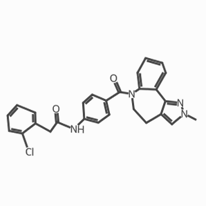 Cn1cc2c(n1)-c1ccccc1N(C(=O)c1ccc(NC(=O)Cc3ccccc3Cl)cc1)CC2